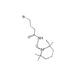 CC1(C)CCCC(C)(C)N1ONC(=O)CCCBr